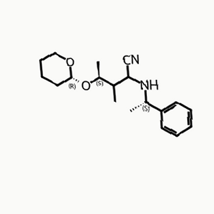 CC(C(C#N)N[C@@H](C)c1ccccc1)[C@H](C)O[C@@H]1CCCCO1